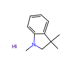 CN1CC(C)(C)c2ccccc21.I